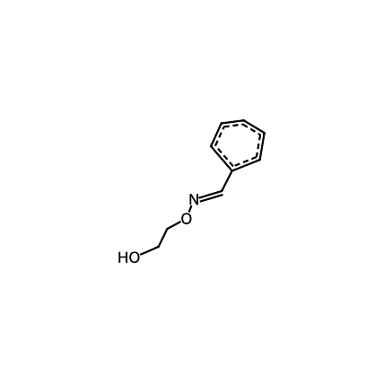 OCCO/N=C/c1ccccc1